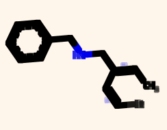 C/C=C(\C=C/CC)CNCc1ccccc1